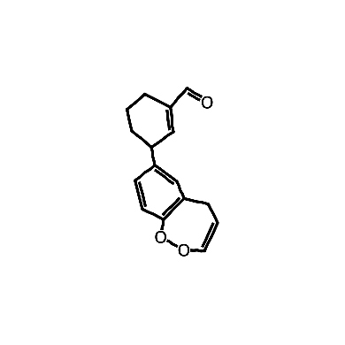 O=CC1=CC(c2ccc3c(c2)CC=COO3)CCC1